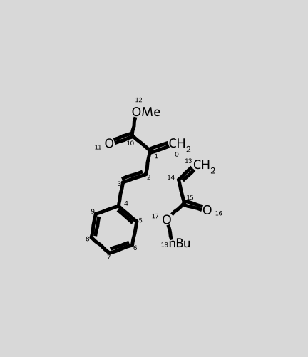 C=C(C=Cc1ccccc1)C(=O)OC.C=CC(=O)OCCCC